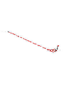 COCCOCCOCCOCCOCCOCCOCCOCCOCCOCCOCCOCCOCCOCCOCCOCCOCCC(=O)O[C@H]1CC[C@@]2(C)C(=CC[C@H]3[C@@H]4CC[C@H](C(C)CCCC(C)(C)O)[C@@]4(C)CC[C@@H]32)C1